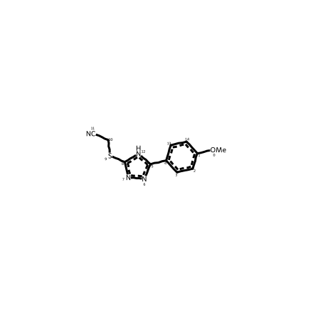 COc1ccc(-c2nnc(SCC#N)[nH]2)cc1